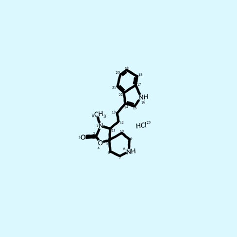 CN1C(=O)OC2(CCNCC2)C1CCc1c[nH]c2ccccc12.Cl